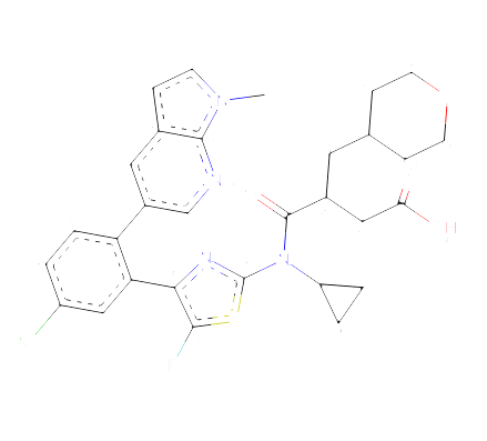 Cn1ccc2cc(-c3ccc(Cl)cc3-c3nc(N(C(=O)C(CC(=O)O)CC4CCOCC4)C4CC4)sc3F)cnc21